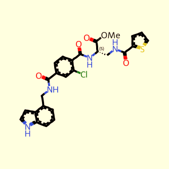 COC(=O)[C@H](CNC(=O)c1cccs1)NC(=O)c1ccc(C(=O)NCc2cccc3[nH]ccc23)cc1Cl